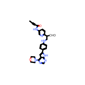 CC#CC(=O)Nc1ccc(C(C=O)CNc2ccc(-c3cc4c(N5CCOCC5)ncnc4[nH]3)cc2)nc1